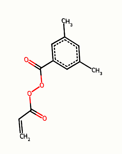 C=CC(=O)OOC(=O)c1cc(C)cc(C)c1